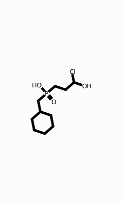 O=P(O)(CCC(O)Cl)CC1CCCCC1